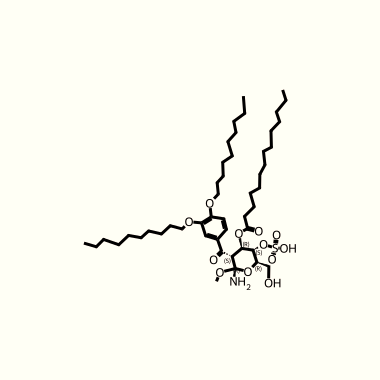 CCCCCCCCCCCCCC(=O)O[C@H]1[C@H](OS(=O)(=O)O)[C@@H](CO)O[C@](N)(OC)[C@@H]1C(=O)c1ccc(OCCCCCCCCCC)c(OCCCCCCCCCC)c1